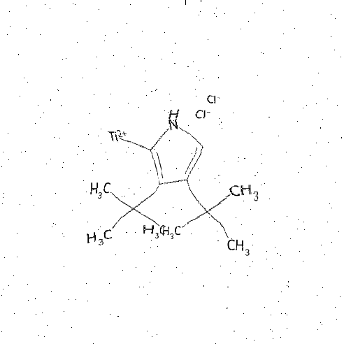 CC(C)(C)c1c[nH][c]([Ti+2])c1C(C)(C)C.[Cl-].[Cl-]